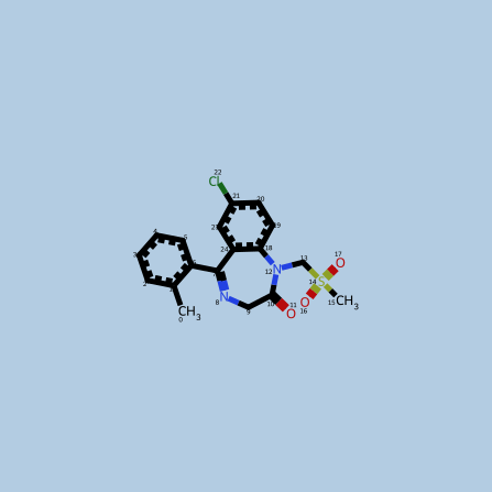 Cc1ccccc1C1=NCC(=O)N(CS(C)(=O)=O)c2ccc(Cl)cc21